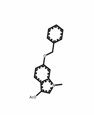 CC(=O)Oc1cn(C)c2cc(OCc3ccccc3)ccc12